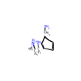 CN.CN.CN.[CH]1C=CC=C1.[Hf]